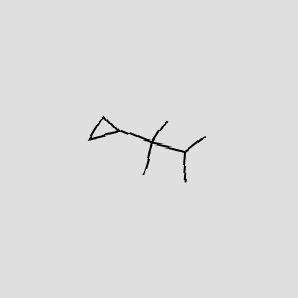 CC(C)C(C)(C)C1CC1